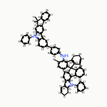 Cc1ccc2c(c1Nc1ccc(-c3ccc4c(c3)c3cc5c(cc3n4-c3ccccc3)C(C)(C)c3ccccc3-5)cc1)C1=C(C=CCC1)C21c2ccccc2-c2c1ccc1c3c(n(-c4ccccc4)c21)CCC=C3